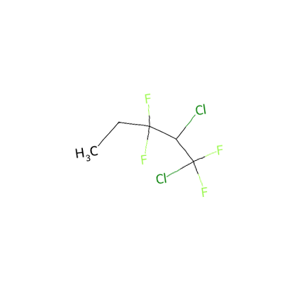 CCC(F)(F)C(Cl)C(F)(F)Cl